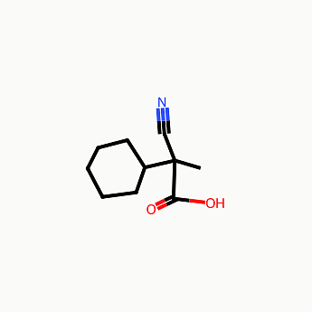 CC(C#N)(C(=O)O)C1CCCCC1